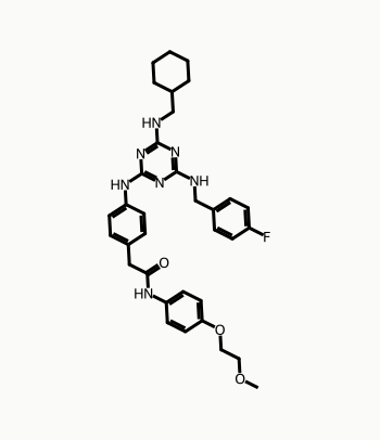 COCCOc1ccc(NC(=O)Cc2ccc(Nc3nc(NCc4ccc(F)cc4)nc(NCC4CCCCC4)n3)cc2)cc1